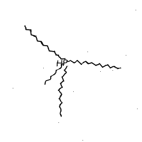 CCCCCCCCCCCCCCC[PH](CCCCCCCC)(CCCCCCCCCCCCCCC)CCCCCCCCCCCCCCC